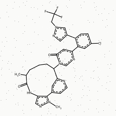 CC1CCCC(n2cnc(-c3cc(Cl)ccc3-c3cnn(CC(F)(F)F)c3)cc2=O)c2cc(ccn2)-c2c(cnn2C)NC1=O